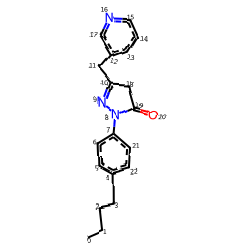 CCCCc1ccc(N2N=C(Cc3cccnc3)CC2=O)cc1